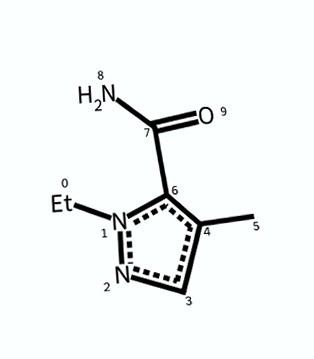 CCn1ncc(C)c1C(N)=O